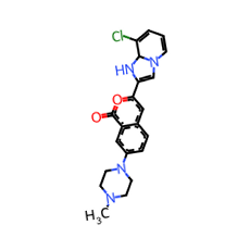 CN1CCN(c2ccc3cc(C4=CN5C=CC=C(Cl)C5N4)oc(=O)c3c2)CC1